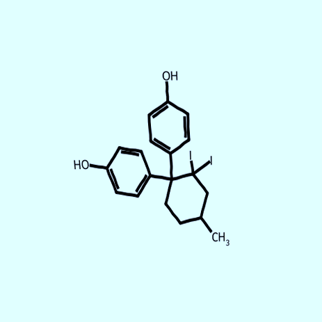 CC1CCC(c2ccc(O)cc2)(c2ccc(O)cc2)C(I)(I)C1